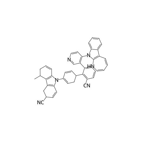 CC1CC=Cc2c1c1c(n2C2=CCC(c3c(C#N)cccc3-c3cnccc3-n3c4c(c5ccccc53)C=CC=CN4)C=C2)C=CC(C#N)C1